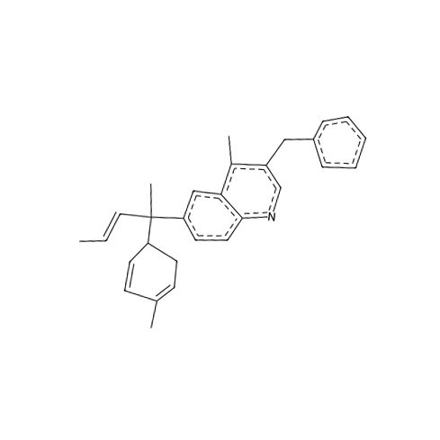 C/C=C/C(C)(c1ccc2ncc(Cc3ccccc3)c(C)c2c1)C1C=CC(C)=CC1